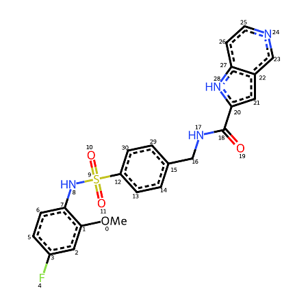 COc1cc(F)ccc1NS(=O)(=O)c1ccc(CNC(=O)c2cc3cnccc3[nH]2)cc1